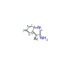 CC(=O)c1c(N)cnc2ccc(F)cc12